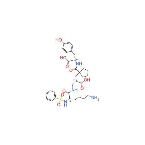 NCCCC[C@H](NS(=O)(=O)c1ccccc1)C(=O)NC[C@H](CC1(C(=O)N[C@@H](Cc2ccc(O)cc2)C(=O)O)CCCC1)C(=O)O